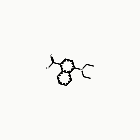 CCN(CC)c1ccc(C(=O)Cl)c2ccccc12